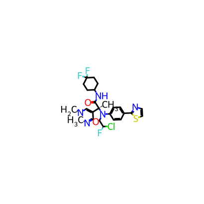 C=N/C=C(\C=N/C)[C@@](C)(C(=O)NC1CCC(F)(F)CC1)N(C(=O)[C@H](F)Cl)c1ccc(-c2nccs2)cc1